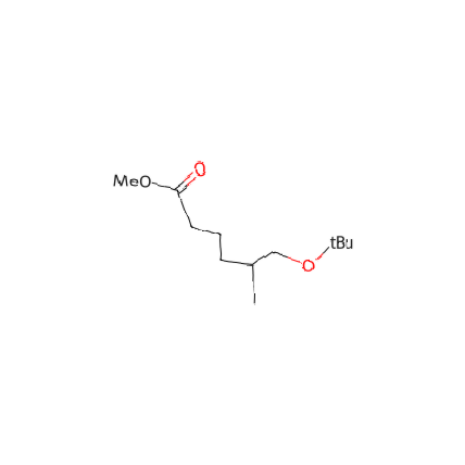 COC(=O)CCCC(C)COC(C)(C)C